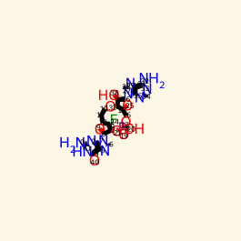 Nc1nc2c(ncn2C2OC3CCOC4C(COP(=O)(O)OC2C3F)OC(n2cnc3c(N)ncnc32)C4O)c(=O)[nH]1